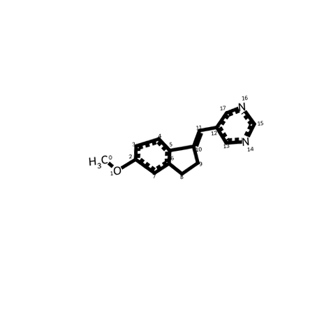 COc1ccc2c(c1)CCC2=Cc1cncnc1